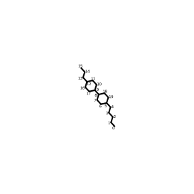 CCCCCC1CCC(C2CCC(CCC)CC2)CC1